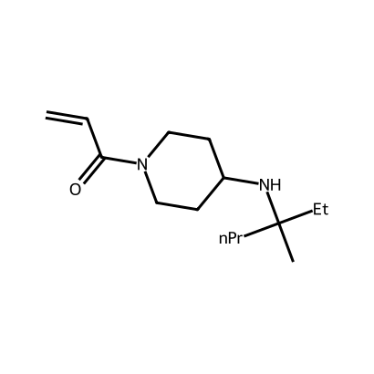 C=CC(=O)N1CCC(NC(C)(CC)CCC)CC1